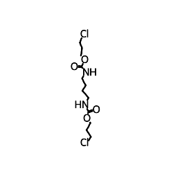 O=C(NCCCCNC(=O)OCCCCl)OCCCCl